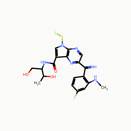 CNc1cc(F)ccc1C(=N)c1cnc2c(n1)c(C(=O)NC(CO)C(C)O)cn2SF